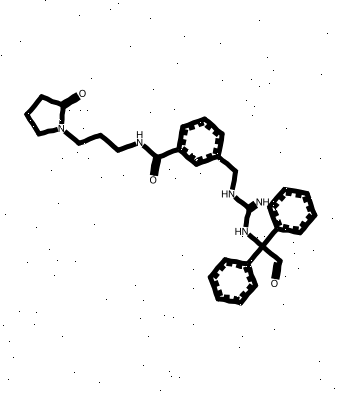 N=C(NCc1cccc(C(=O)NCCCN2CCCC2=O)c1)NC(C=O)(c1ccccc1)c1ccccc1